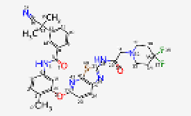 Cc1ccc(NC(=O)c2cccc(C(C)(C)C#N)c2)cc1Oc1ccc2nc(NC(=O)CN3CCC(F)(F)CC3)sc2n1